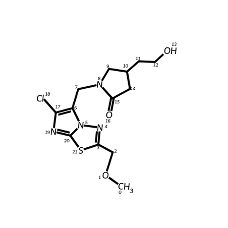 COCc1nn2c(CN3CC(CCO)CC3=O)c(Cl)nc2s1